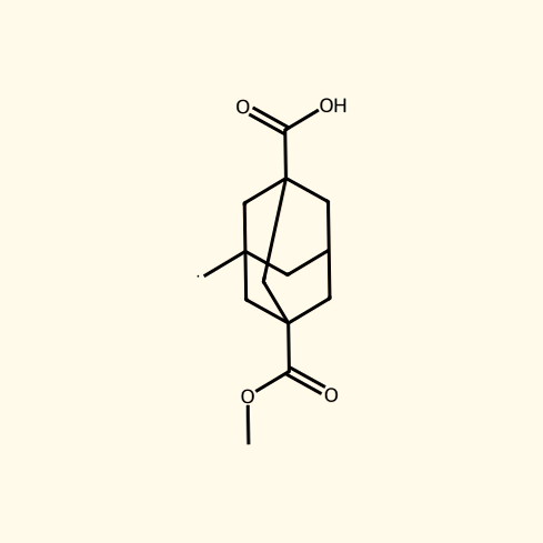 [CH2]C12CC3CC(C(=O)O)(C1)CC(C(=O)OC)(C3)C2